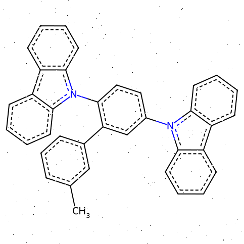 Cc1cccc(-c2cc(-n3c4ccccc4c4ccccc43)ccc2-n2c3ccccc3c3ccccc32)c1